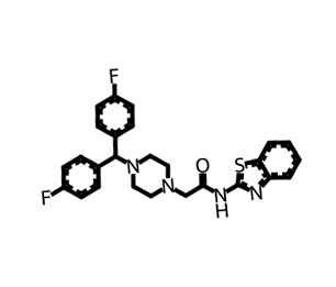 O=C(CN1CCN(C(c2ccc(F)cc2)c2ccc(F)cc2)CC1)Nc1nc2ccccc2s1